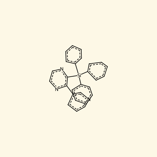 c1ccc([Si](c2ccccc2)(c2ccccc2)c2nccnc2-c2cccnc2)cc1